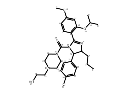 CCCC1N=C(c2ccc(OC)cc2OC(C)C)N(C(=O)N2CCN(CCO)CC2)C1c1ccc(Cl)cc1